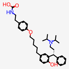 CC(C)N(CC[C@H](c1ccccc1)c1cc(CCCCCOc2ccc(CCNC(=O)O)cc2)ccc1O)C(C)C